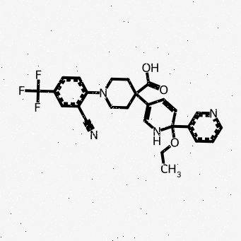 CCOC1(c2cccnc2)C=CC(C2(C(=O)O)CCN(c3ccc(C(F)(F)F)cc3C#N)CC2)=CN1